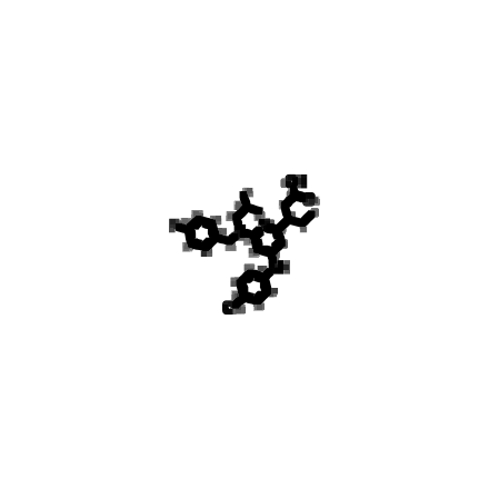 CCC(CC(=O)O)c1cc(Nc2ccc(Cl)cc2)cc(N(Cc2ccc(F)cc2)CC(C)C)n1